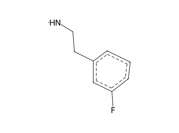 [NH]CCc1cccc(F)c1